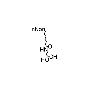 CCCCCCCCCCCCCCCC(=O)NCCC(O)O